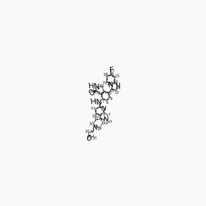 CN1Cc2nc(Nc3ccc(-c4cnc5cc(F)ccn45)c4c3C(=O)NC4)ccc2C12CCN(C1COC1)CC2